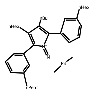 CCCCCCC1=C(c2cccc(CCCCC)c2)[N+](=[N-])C(c2cccc(CCCCCC)c2)=C1CCCC.[CH3][Pd][CH3]